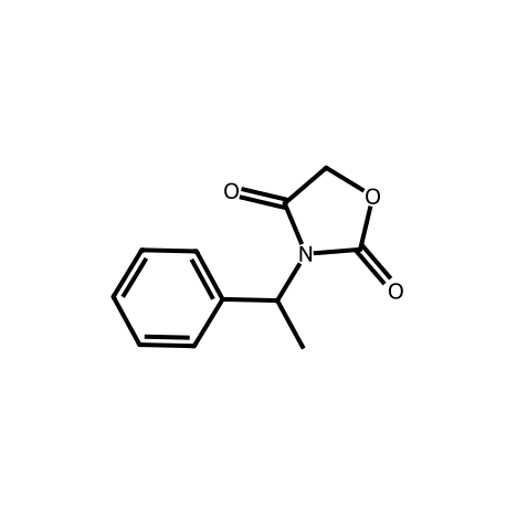 CC(c1ccccc1)N1C(=O)COC1=O